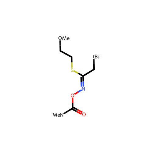 CNC(=O)ON=C(CC(C)(C)C)SCCOC